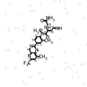 Cc1cc(-c2ncc3nc(C(F)(F)F)cc(C)c3n2)ccc1N(C)C(=O)/C(=C/C=N)NCC(N)=O